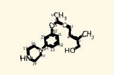 CC(=C=C/C=C(\C)CO)Oc1cccc(N2CCNCC2)c1